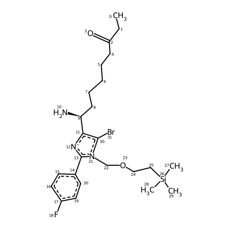 CCC(=O)CCCCC[C@H](N)c1nc(-c2ccc(F)cc2)n(COCC[Si](C)(C)C)c1Br